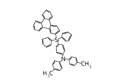 Cc1ccc(N(c2ccc(C)cc2)c2ccc([Si](c3ccccc3)(c3ccccc3)c3ccc4c5ccccc5c5ccccc5c4c3)cc2)cc1